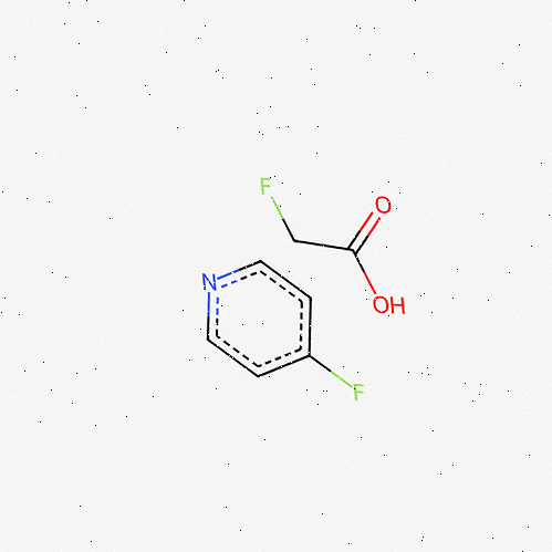 Fc1ccncc1.O=C(O)CF